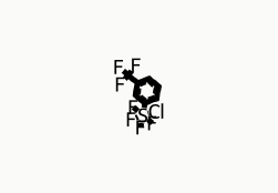 FC(F)(F)c1cccc(S(F)(F)(F)(F)Cl)c1